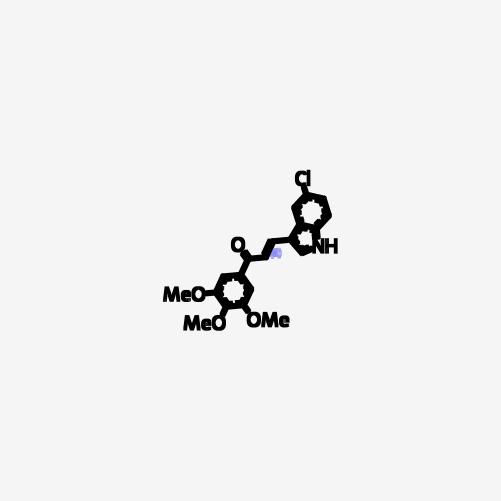 COc1cc(C(=O)/C=C/c2c[nH]c3ccc(Cl)cc23)cc(OC)c1OC